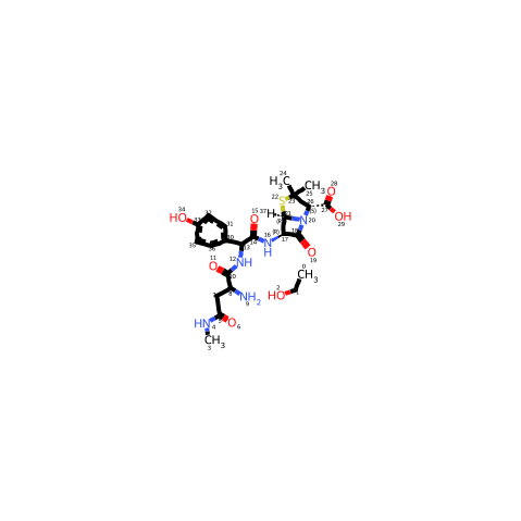 CCO.CNC(=O)CC(N)C(=O)NC(C(=O)N[C@@H]1C(=O)N2[C@@H]1SC(C)(C)[C@@H]2C(=O)O)c1ccc(O)cc1